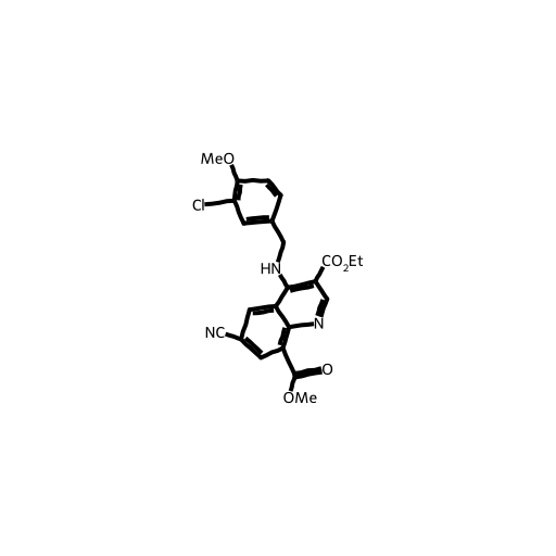 CCOC(=O)c1cnc2c(C(=O)OC)cc(C#N)cc2c1NCc1ccc(OC)c(Cl)c1